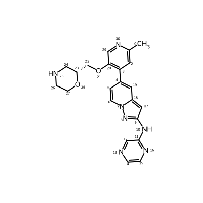 Cc1cc(-c2ccn3nc(Nc4cnccn4)cc3c2)c(OC[C@H]2CNCCO2)cn1